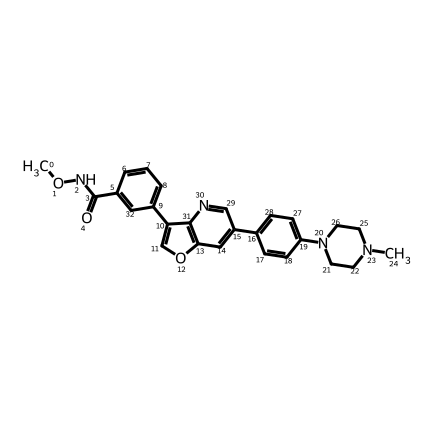 CONC(=O)c1cccc(-c2coc3cc(-c4ccc(N5CCN(C)CC5)cc4)cnc23)c1